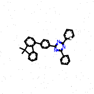 CC1(C)c2ccccc2-c2c(-c3ccc(-c4nc(-c5ccccc5)nc(-c5ccccc5)n4)cc3)cccc21